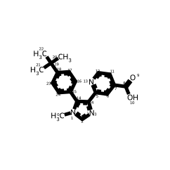 Cn1cnc(-c2cc(C(=O)O)ccn2)c1-c1ccc(C(C)(C)C)cc1